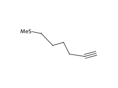 C#CCCC[CH]SC